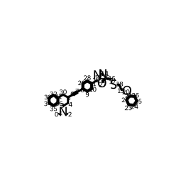 CN(C)CCC(C#Cc1ccc(-c2nnc(CSCCOc3ccccc3)o2)cc1)Cc1ccccc1